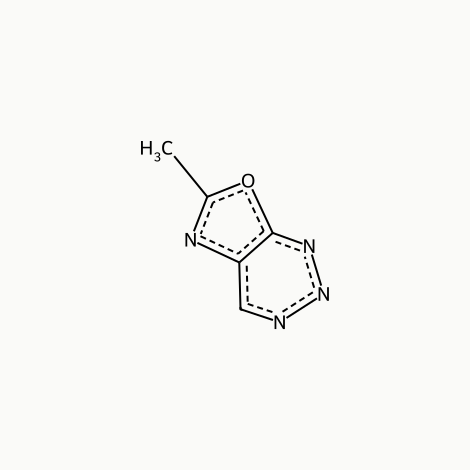 Cc1nc2cnnnc2o1